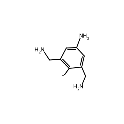 NCc1cc(N)cc(CN)c1F